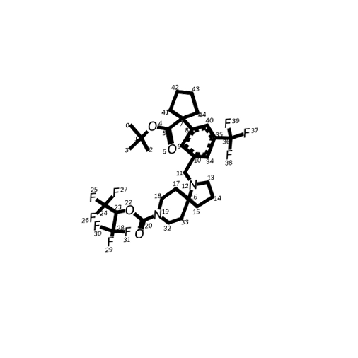 CC(C)(C)OC(=O)C1(c2cc(CN3CCCC34CCN(C(=O)OC(C(F)(F)F)C(F)(F)F)CC4)cc(C(F)(F)F)c2)CCCC1